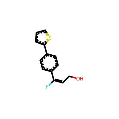 OC/C=C(/F)c1ccc(-c2cccs2)cc1